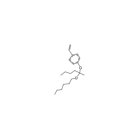 C=Cc1ccc(OC(C)(CCCC)OCCCCCC)cc1